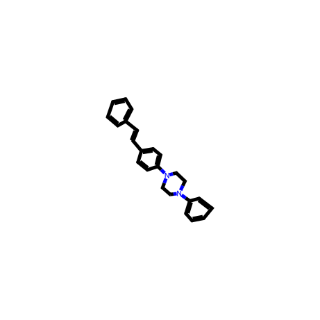 C(=Cc1ccc(N2CCN(c3ccccc3)CC2)cc1)c1ccccc1